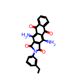 CCc1cccc(-n2c(=O)c3c(N)c4c(=O)c5ccccc5c(=O)c4c(N)c3c2=O)c1